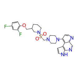 O=S(=O)(CN1CCN(c2ccnc3cnc4[nH]ccc4c23)CC1)N1CCCC(COc2ccc(F)cc2F)C1